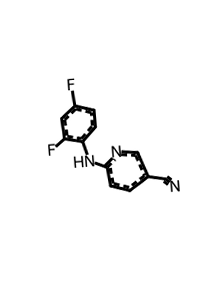 N#Cc1ccc(Nc2ccc(F)cc2F)nc1